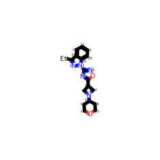 CCc1nn(-c2noc(C3CN(C4CCOCC4)C3)n2)c2ccccc12